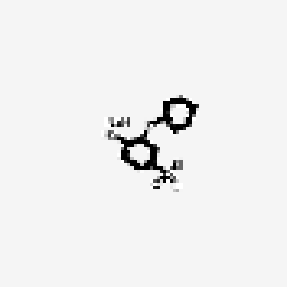 O=S(=O)(Cl)c1ccc(S)c(Sc2ccccc2)c1.[NaH]